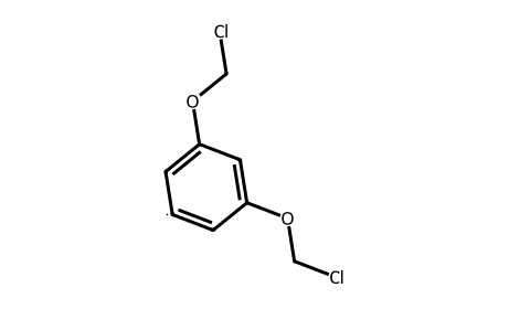 ClCOc1c[c]cc(OCCl)c1